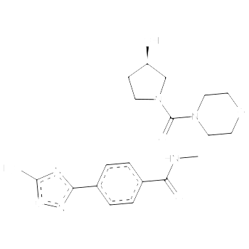 O=C(NC[C@H]1COCCN1C(=O)N1CC[C@@H](O)C1)c1ccc(-c2noc(C(F)(F)F)n2)cc1